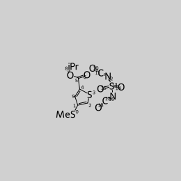 CSc1csc(C(=O)OC(C)C)c1.O=C=NS(=O)(=O)N=C=O